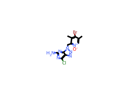 Cc1c[n+]([O-])c(Cn2nnc3c(Cl)nc(N)nc32)c(C)c1Br